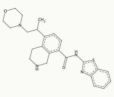 [CH2]C(CN1CCOCC1)c1ccc(C(=O)Nc2nc3ccccc3s2)c2c1CCNC2